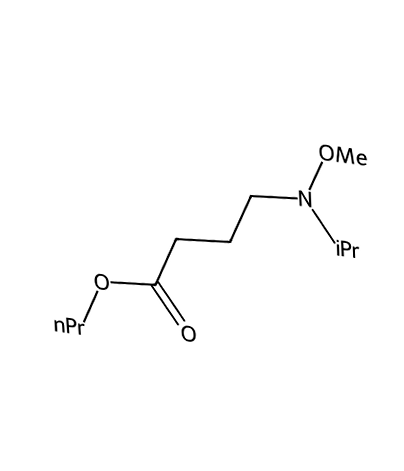 CCCOC(=O)CCCN(OC)C(C)C